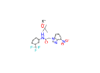 CC(C)(C)[O-].O=C(Cn1cnc2c([N+](=O)[O-])cccc21)Nc1cccc(C(F)(F)F)c1.[K+]